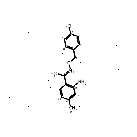 C/C(=N\OCc1ccc(Cl)cc1)c1ccc(C)cc1N